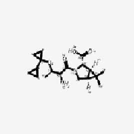 C[C@@H](OC1(C2CC2)CC1)[C@H](N)C(=O)N1C[C@H]2[C@@H]([C@H]1C(=O)O)C2(C)C